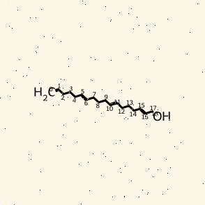 C=CCCC/C=C/CCC/C=C/CCC/C=C/CO